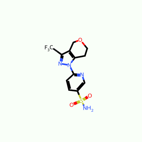 NS(=O)(=O)c1ccc(-n2nc(C(F)(F)F)c3c2CCOC3)nc1